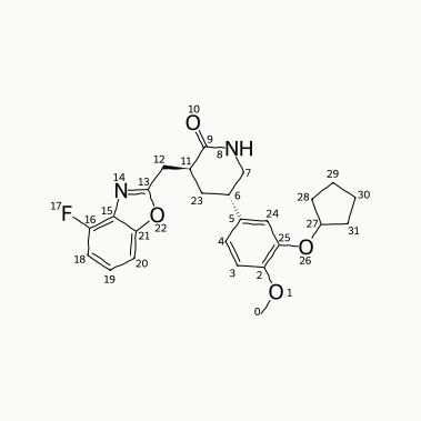 COc1ccc([C@H]2CNC(=O)[C@H](Cc3nc4c(F)cccc4o3)C2)cc1OC1CCCC1